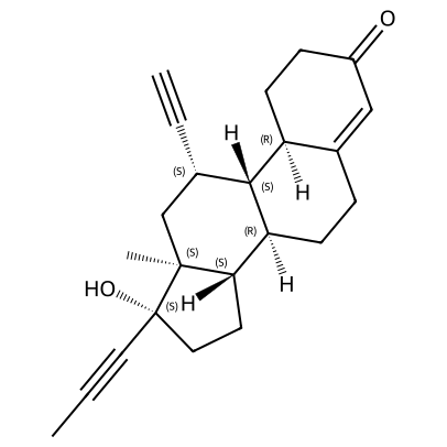 C#C[C@H]1C[C@@]2(C)[C@@H](CC[C@@]2(O)C#CC)[C@@H]2CCC3=CC(=O)CC[C@@H]3[C@H]21